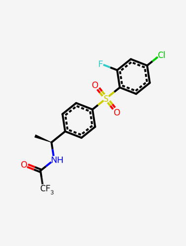 C[C@H](NC(=O)C(F)(F)F)c1ccc(S(=O)(=O)c2ccc(Cl)cc2F)cc1